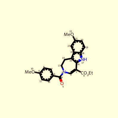 CCOC(=O)C1=CN(C(=O)c2ccc(OC)cc2)CCc2c1[nH]c1ccc(OC)cc21